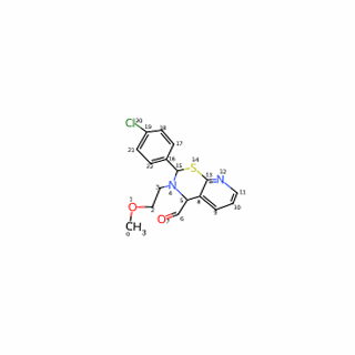 COCCN1C(C=O)c2cccnc2SC1c1ccc(Cl)cc1